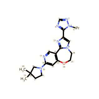 CC(C)n1ncnc1-c1cn2c(n1)-c1cnc(N3CCC(C)(C)C3)cc1OCC2